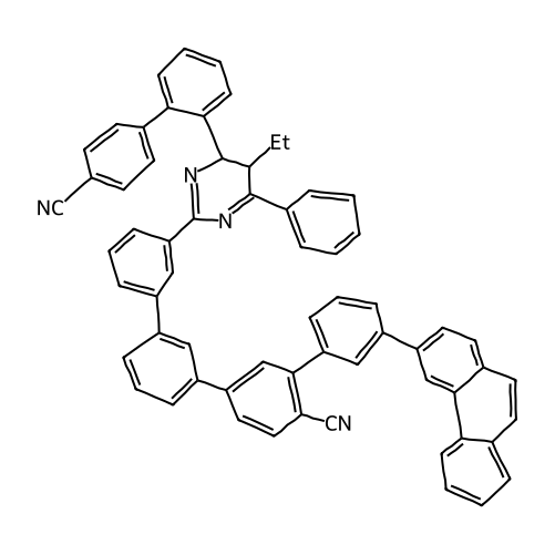 CCC1C(c2ccccc2)=NC(c2cccc(-c3cccc(-c4ccc(C#N)c(-c5cccc(-c6ccc7ccc8ccccc8c7c6)c5)c4)c3)c2)=NC1c1ccccc1-c1ccc(C#N)cc1